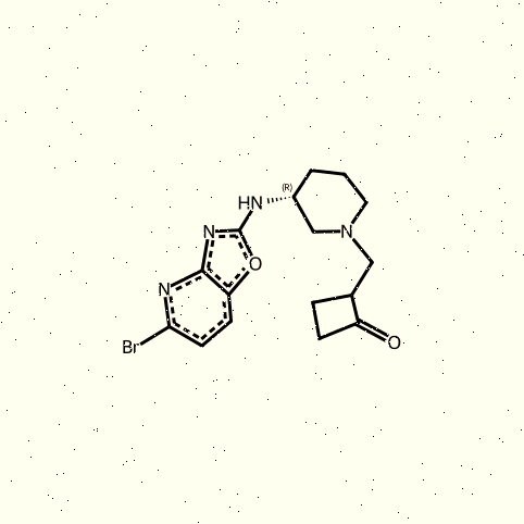 O=C1CCC1CN1CCC[C@@H](Nc2nc3nc(Br)ccc3o2)C1